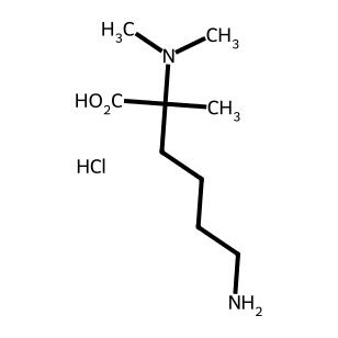 CN(C)C(C)(CCCCN)C(=O)O.Cl